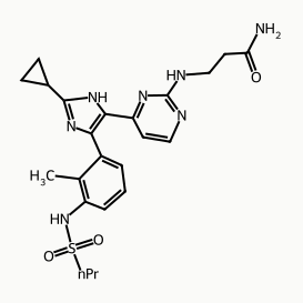 CCCS(=O)(=O)Nc1cccc(-c2nc(C3CC3)[nH]c2-c2ccnc(NCCC(N)=O)n2)c1C